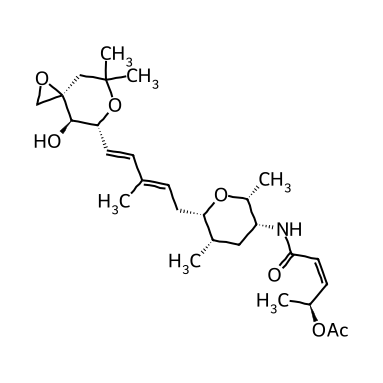 CC(=O)O[C@@H](C)/C=C\C(=O)N[C@@H]1C[C@H](C)[C@H](C/C=C(C)/C=C/[C@H]2OC(C)(C)C[C@@]3(CO3)[C@@H]2O)O[C@@H]1C